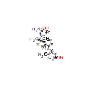 C=C1CC[C@H](O)C/C1=C/C=C1\CCC[C@]2(C)[C@@H]([C@H](C)/C=C/C(C)(O)C(C)C)CC[C@@H]12